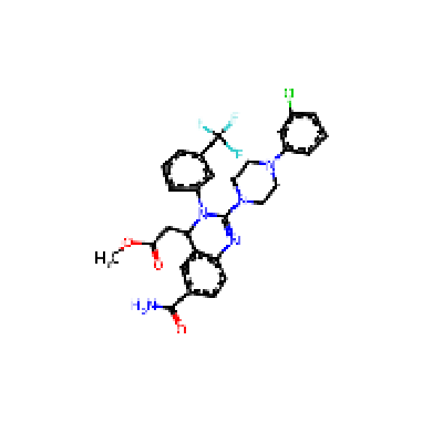 COC(=O)CC1c2cc(C(N)=O)ccc2N=C(N2CCN(c3cccc(Cl)c3)CC2)N1c1cccc(C(F)(F)F)c1